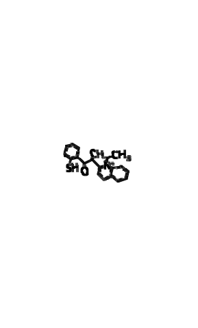 C=C(C(=O)c1ccccc1S)c1ccc2ccccc2[n+]1CC